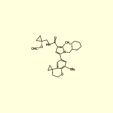 Cc1c(C(=O)NCC2(OC=O)CC2)cc(-c2cc(C(C)(C)C)c3c(c2)C2(CCO3)CC2)n1CC1CCCCC1